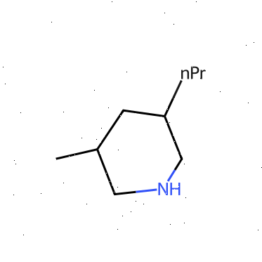 CCCC1CNCC(C)C1